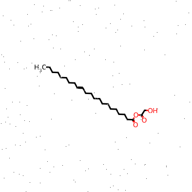 CCCCCCCCC=CCCCCCCCCCCCC(=O)OC(=O)CO